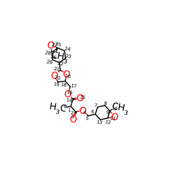 CC(C(=O)OCC1CCC2(C)OC2C1)C(=O)OCC1COC(C2CCC3(C)OC3C2)O1